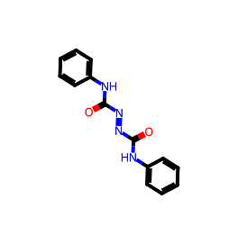 O=C(/N=N/C(=O)Nc1ccccc1)Nc1ccccc1